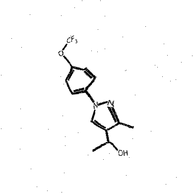 Cc1nn(-c2ccc(OC(F)(F)F)cc2)cc1C(C)O